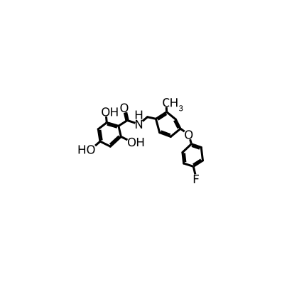 Cc1cc(Oc2ccc(F)cc2)ccc1CNC(=O)c1c(O)cc(O)cc1O